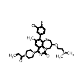 C=CC(=O)N1CCN(c2nc(=O)n3c4c(c(-c5ccc(F)c(Cl)c5)c(C)cc24)SCC(OCCN(C)C)C3)CC1